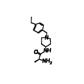 CCc1ccc(CN2CCC(NC(=O)[C@H](C)N)CC2)cc1